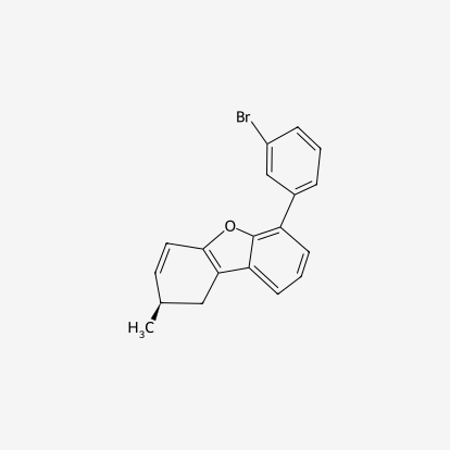 C[C@H]1C=Cc2oc3c(-c4cccc(Br)c4)cccc3c2C1